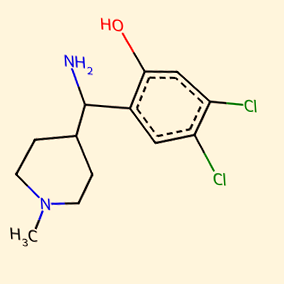 CN1CCC(C(N)c2cc(Cl)c(Cl)cc2O)CC1